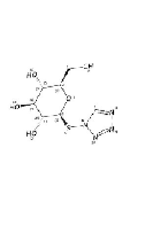 OC[C@H]1O[C@@H](Sn2cnnn2)[C@H](O)[C@@H](O)[C@@H]1O